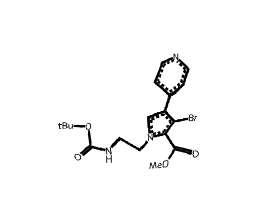 COC(=O)c1c(Br)c(-c2ccncc2)cn1CCNC(=O)OC(C)(C)C